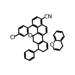 C1=COc2ccccc2C1.N#Cc1ccc(-c2ccc(Cl)cc2)c2c3c(ccc12)C1=C(CC3=O)C(c2ccccc2)CC=C1